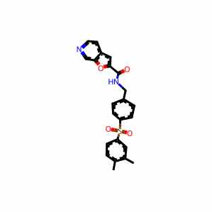 Cc1ccc(S(=O)(=O)c2ccc(CNC(=O)c3cc4ccncc4o3)cc2)cc1C